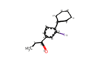 CCC(=O)c1ccc(C2CCCCC2)c(I)c1